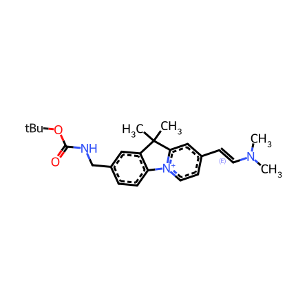 CN(C)/C=C/c1cc[n+]2c(c1)C(C)(C)c1cc(CNC(=O)OC(C)(C)C)ccc1-2